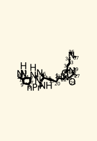 CCCNc1nc(Nc2cccc3cn[nH]c23)ncc1C#CCCCNC(=O)[C@H](C)N(C)C(=O)/C=C/CN(C)C